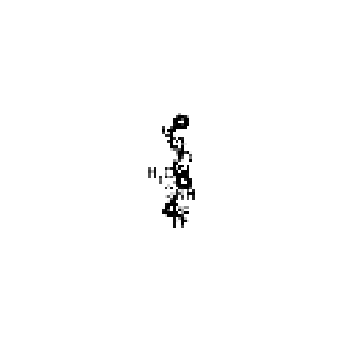 Cc1c2cc(NC(=O)c3cccc(C(F)(F)F)n3)ccc2nn1CC(=O)N1CCN(C(=O)c2ccccc2)CC1